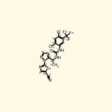 C[C@H](NC(=O)Nc1cc(C(F)(F)F)c(Cl)cc1Cl)c1ncnn1-c1ncc(C#N)s1